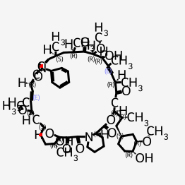 CO[C@H]1C[C@@H]2CC[C@@H](C)[C@@](O)(O2)C(=O)C(=O)N2CCCC[C@H]2C(=O)O[C@H]([C@H](C)C[C@@H]2CC[C@@H](O)[C@H](OC)C2)CC(=O)[C@H](C)/C=C(\C)[C@@H](O)[C@@H](OC)C(=O)[C@H](C)C[C@H](C)C2CC[C@H](/C=C/1C)ON2c1ccccc1